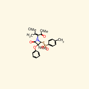 COC(=O)C(=C(C)OC)N1C(=O)C(NC(C)=O)(Oc2ccccc2)C1SS(=O)(=O)c1ccc(C)cc1